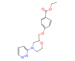 CCOC(=O)c1ccc(OCC2CN(c3cccnn3)CCO2)cc1